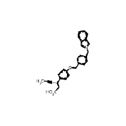 CC#C[C@@H](CC(=O)O)c1ccc(OCc2ccc(Cn3cc4ccccc4c3)cc2)cc1